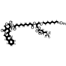 CCCCCCCCCCCCCCCCCOCC(COP(=O)(O)CCC[N+](C)(C)C)OC(=O)CCCCCCCC(=O)O[C@]1(CC)C(=O)OCc2c1cc1n(c2=O)Cc2cc3ccccc3nc2-1